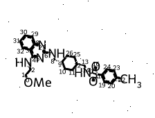 COCCNc1nc(NC[C@H]2CC[C@H](CNS(=O)(=O)c3ccc(C)cc3)CC2)nc2ccccc12